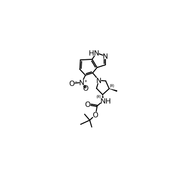 C[C@@H]1CN(c2c([N+](=O)[O-])ccc3[nH]ncc23)C[C@@H]1NC(=O)OC(C)(C)C